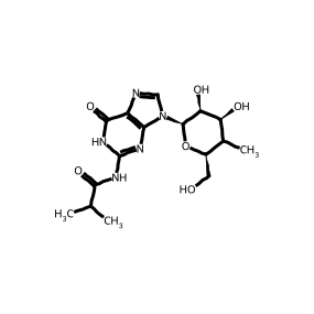 CC(C)C(=O)Nc1nc2c(ncn2[C@@H]2O[C@H](CO)C(C)[C@H](O)[C@@H]2O)c(=O)[nH]1